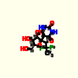 O=c1[nH]cc([C@]2(CC(F)(F)C(F)(F)F)O[C@H](CO)[C@@H](O)[C@H]2O)c(=O)[nH]1